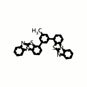 Cc1cc(-c2cccc3c2sc2nc4ccccc4n23)cc(-c2cccc3c2sc2nc4ccccc4n23)c1